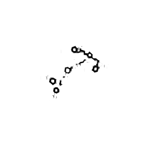 C=C(/C=C/C1=C(OCCCOC(=O)NCC2(C)CCCC(NC(=O)OCC(=O)N(c3ccc(N(C)C)cc3)c3ccc(N(C)C)cc3)C2)C(=C/C=C2/N(CC)c3ccc(C)cc3C2(C)C)/CC1)C(C)(C)c1cc(C)ccc1C